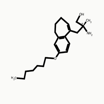 CCCCCCCOc1ccc2c(c1)CCCC=C2C[C@@](C)(N)CO